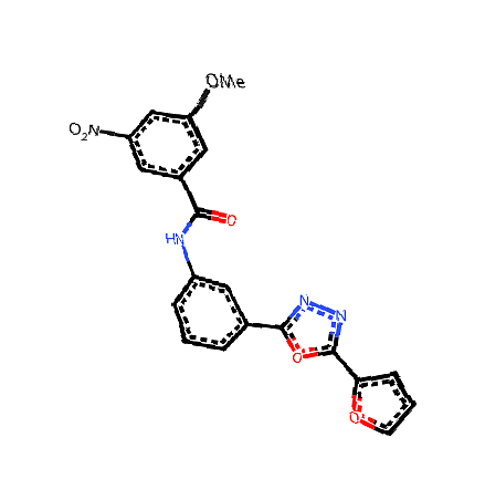 COc1cc(C(=O)Nc2cccc(-c3nnc(-c4ccco4)o3)c2)cc([N+](=O)[O-])c1